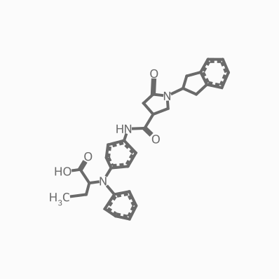 CCC(C(=O)O)N(c1ccccc1)c1ccc(NC(=O)C2CC(=O)N(C3Cc4ccccc4C3)C2)cc1